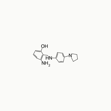 Nc1cccc(O)c1CNc1ccc(N2CCCC2)cc1